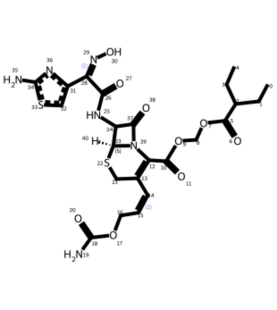 CCC(CC)C(=O)OCOC(=O)C1=C(/C=C\COC(N)=O)CS[C@H]2C(NC(=O)/C(=N\O)c3csc(N)n3)C(=O)N12